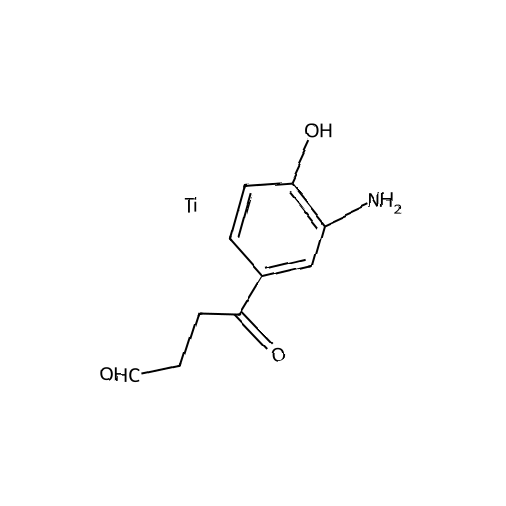 Nc1cc(C(=O)CCC=O)ccc1O.[Ti]